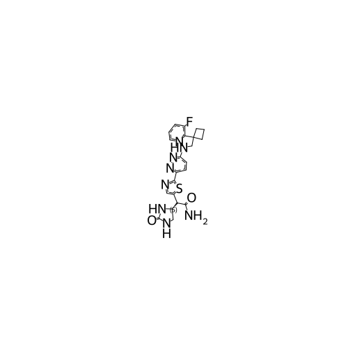 NC(=O)C(c1cnc(-c2ccc(NCC3(c4ncccc4F)CCC3)nn2)s1)[C@H]1CNC(=O)N1